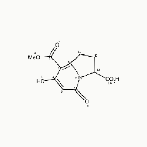 COC(=O)c1c(O)cc(=O)n2c1CCC2C(=O)O